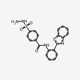 NNS(=O)(=O)c1ccc(C(=O)Nc2ccccc2-c2nc3ccccc3s2)cc1